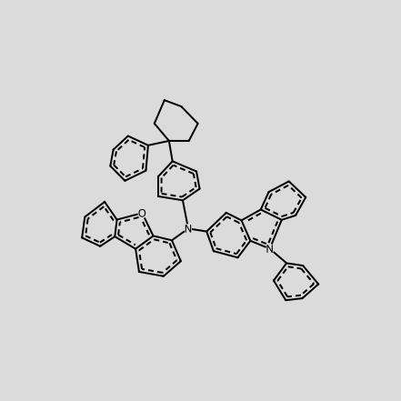 c1ccc(-n2c3ccccc3c3cc(N(c4ccc(C5(c6ccccc6)CCCCC5)cc4)c4cccc5c4oc4ccccc45)ccc32)cc1